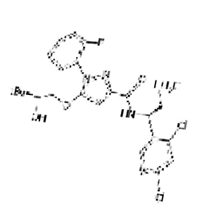 CC(C)(C)[C@H](O)COc1cc(C(=O)N[C@@H](CC(=O)O)c2ccc(Cl)cc2Cl)nn1-c1ccccc1F